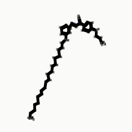 CCCCCCCCCCCCCCCCCCCCOc1cccc(/C=C/C(=O)c2ccc(SCCC)cc2)c1